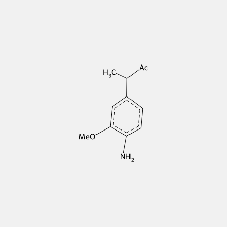 COc1cc(C(C)C(C)=O)ccc1N